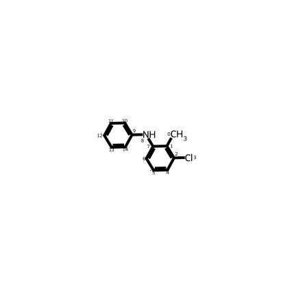 Cc1c(Cl)c[c]cc1Nc1ccccc1